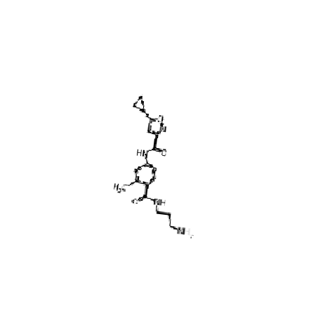 Cc1cc(NC(=O)c2cc(C3CC3)on2)ccc1C(=O)NCCCN